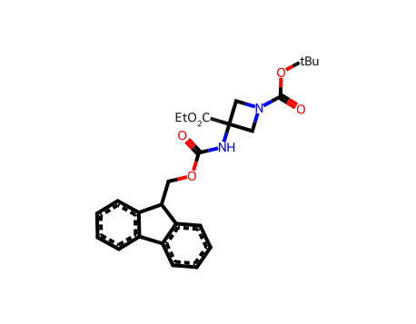 CCOC(=O)C1(NC(=O)OCC2c3ccccc3-c3ccccc32)CN(C(=O)OC(C)(C)C)C1